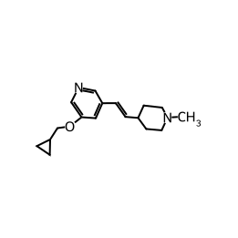 CN1CCC(C=Cc2cncc(OCC3CC3)c2)CC1